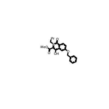 COC(=O)c1c(O)c2cc(OCc3ccccc3)ccc2c(=O)n1CC(C)C